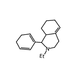 CCN1CCC2=CCCCC2C1C1=CCCC=C1